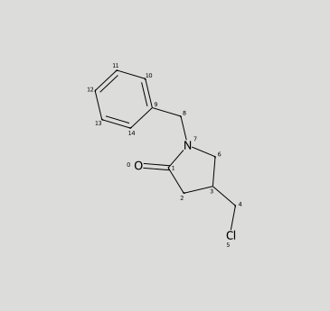 O=C1CC(CCl)CN1Cc1ccccc1